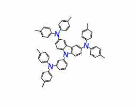 Cc1ccc(N(c2ccc(C)cc2)c2cccc(-n3c4ccc(N(c5ccc(C)cc5)c5ccc(C)cc5)cc4c4cc(N(c5ccc(C)cc5)c5ccc(C)cc5)ccc43)c2)cc1